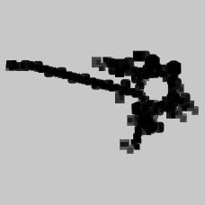 COCCOCCOCCOCCOCCOCCOCCOCCNC(=O)CCCC1CSC[C@H](NC(=O)CNC(=O)CNC(=O)CN)C(=O)N[C@@H](Cc2ccc(O)cc2)C(=O)N[C@@H](Cc2ccccc2)C(=O)N[C@@H](CCC(N)=O)C(=O)N[C@@H](CC(N)=O)C(=O)N[C@H](C(=O)N2CCC[C@H]2C(=O)N[C@@H](CCCCN)C(=O)NCC(N)=O)CS1